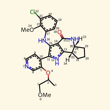 COCC(C)Oc1cnccc1-c1[nH]c2c(c1Nc1cccc(Cl)c1OC)C(=O)N[C@@H]1CCC[C@H]21